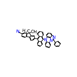 CC1(C)c2cc(C#N)ccc2-c2ccc(-c3c4ccccc4c(N4c5ccccc5-n5c(-c6ccccc6)nc6cccc4c65)c4ccccc34)cc21